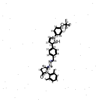 Cc1cccc(C)c1N1C(=O)CS/C1=N\N=C\c1ccc(C2C=CN(c3ccc(OC(F)(F)F)cc3)N2)cc1